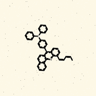 C/C=C\C=C/c1cccc2c(-c3ccc(P(c4ccccc4)c4ccccc4)cc3)c3ccc4ccccc4c3nc12